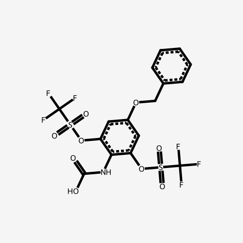 O=C(O)Nc1c(OS(=O)(=O)C(F)(F)F)cc(OCc2ccccc2)cc1OS(=O)(=O)C(F)(F)F